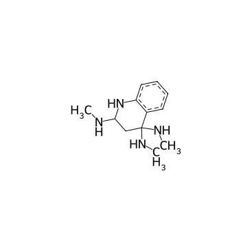 CNC1CC(NC)(NC)c2ccccc2N1